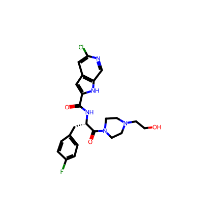 O=C(N[C@@H](Cc1ccc(F)cc1)C(=O)N1CCN(CCO)CC1)c1cc2cc(Cl)ncc2[nH]1